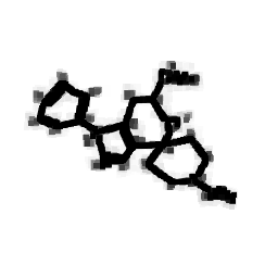 CCCCN1CCC2(CC1)OC(OC)Cc1c2cnn1-c1ccccc1